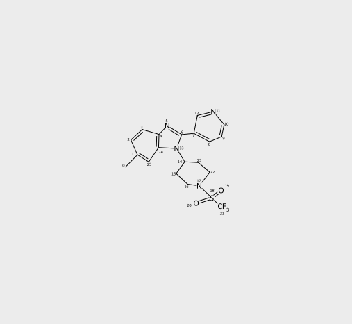 Cc1ccc2nc(-c3cccnc3)n(C3CCN(S(=O)(=O)C(F)(F)F)CC3)c2c1